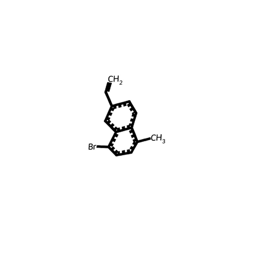 C=Cc1ccc2c(C)ccc(Br)c2c1